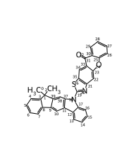 CC1(C)c2ccccc2-c2cc3c4ccccc4n(-c4nc5cc6oc7ccccc7c(=O)c6cc5s4)c3cc21